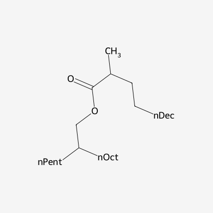 CCCCCCCCCCCCC(C)C(=O)OCC(CCCCC)CCCCCCCC